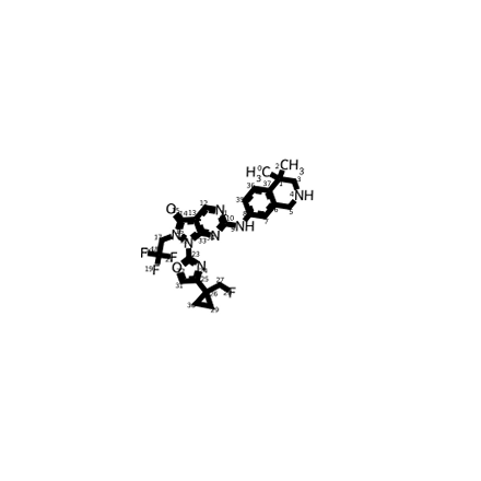 CC1(C)CNCc2cc(Nc3ncc4c(=O)n(CC(F)(F)F)n(-c5nc(C6(CF)CC6)co5)c4n3)ccc21